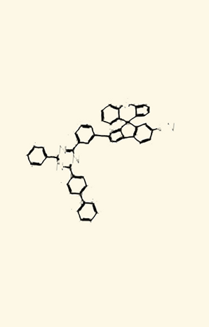 N#Cc1ccc2c(c1)C1(c3ccccc3Sc3ccccc31)c1cc(-c3cccc(-c4nc(-c5ccccc5)nc(-c5ccc(-c6ccccc6)cc5)n4)c3)ccc1-2